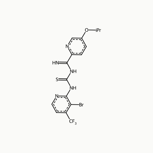 CC(C)Oc1ccc(C(=N)NC(=S)Nc2nccc(C(F)(F)F)c2Br)nc1